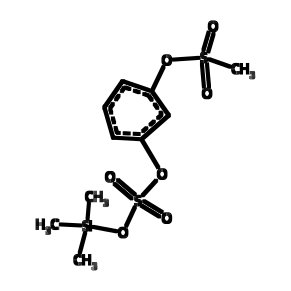 C[Si](C)(C)OS(=O)(=O)Oc1cccc(OS(C)(=O)=O)c1